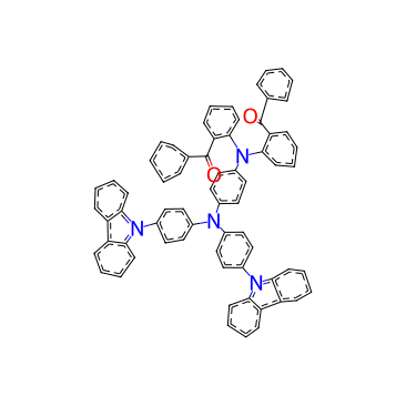 O=C(c1ccccc1)c1ccccc1N(c1ccc(N(c2ccc(-n3c4ccccc4c4ccccc43)cc2)c2ccc(-n3c4ccccc4c4ccccc43)cc2)cc1)c1ccccc1C(=O)c1ccccc1